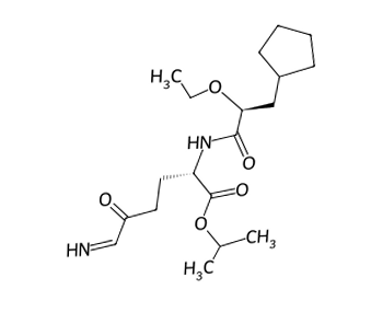 CCO[C@@H](CC1CCCC1)C(=O)N[C@@H](CCC(=O)C=N)C(=O)OC(C)C